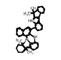 CC1(C)c2ccccc2-c2c1[nH]c1c(-c3cc4ccccc4c4c3Bc3cccc5c3N4C3(C)CCCCC53C)cccc21